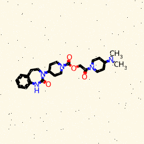 CN(C)C1CCN(C(=O)COC(=O)N2CCC(N3CCc4ccccc4NC3=O)CC2)CC1